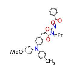 CCCN1C(=O)/C(=C\c2ccc(N(c3ccc(C)cc3)c3ccc(OC)cc3)cc2)OC1=NOC(=O)c1ccccc1